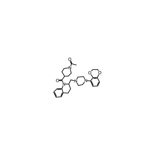 CC(=O)N1CCC(C(=O)N2c3ccccc3CCC2CN2CCN(c3cccc4c3OCCO4)CC2)CC1